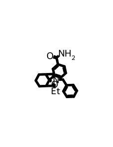 CCOC1(c2cccc(C(N)=O)c2)C2CCCC1CN(Cc1ccccc1)C2